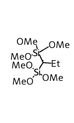 CC[C]([Si](OC)(OC)OC)[Si](OC)(OC)OC